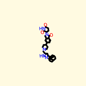 O=C1CCC(N2Cc3cc(C4CCN(Cc5cc(C67CC8CC(CC(C8)C6)C7)n[nH]5)CC4)ccc3C2=O)C(=O)N1